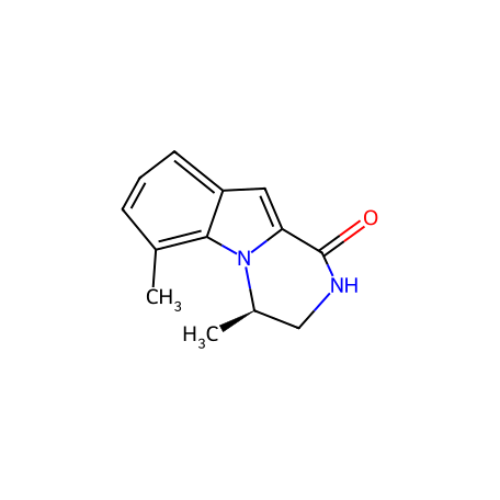 Cc1cccc2cc3n(c12)[C@H](C)CNC3=O